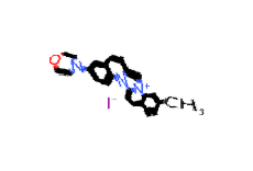 Cc1ccc2ccc3n4c(ccc5cc(N6CCOCC6)ccc54)c[n+]3c2c1.[I-]